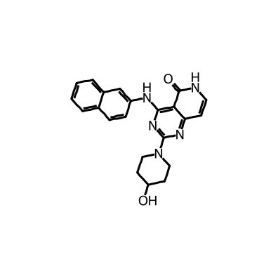 O=c1[nH]ccc2nc(N3CCC(O)CC3)nc(Nc3ccc4ccccc4c3)c12